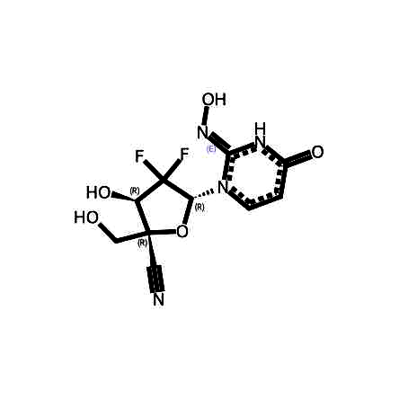 N#C[C@]1(CO)O[C@@H](n2ccc(=O)[nH]/c2=N\O)C(F)(F)[C@@H]1O